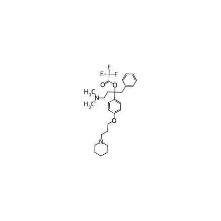 CN(C)CCC(Cc1ccccc1)(OC(=O)C(F)(F)F)c1ccc(OCCCN2CCCCC2)cc1